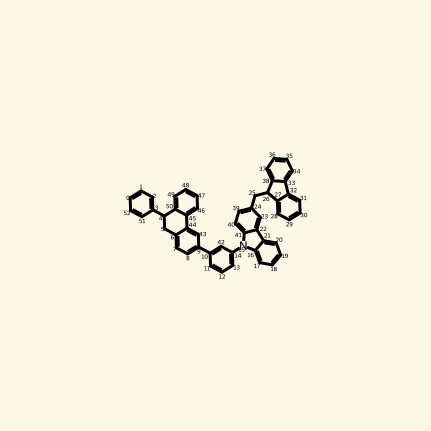 c1ccc(C2Cc3ccc(-c4cccc(-n5c6ccccc6c6cc(CC7c8ccccc8-c8ccccc87)ccc65)c4)cc3-c3ccccc32)cc1